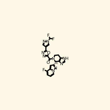 O=C(c1nnc(-c2cnn(C(F)F)c2)o1)N1CCc2[nH]cnc2[C@@H]1c1cc2c(F)cccn2n1